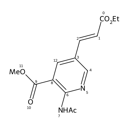 CCOC(=O)C=Cc1cnc(NC(C)=O)c(C(=O)OC)c1